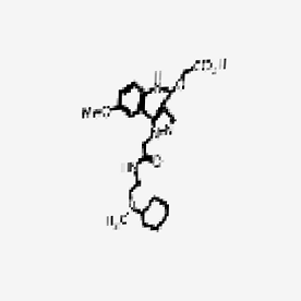 COc1ccc2c(c1)-c1c(cnn1CC(=O)NCCN(C)C1CCCCC1)C(OCC(=O)O)N2